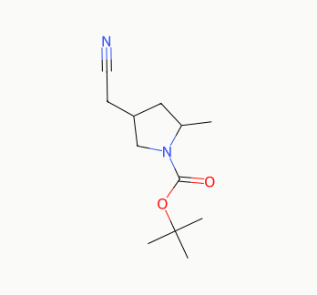 CC1CC(CC#N)CN1C(=O)OC(C)(C)C